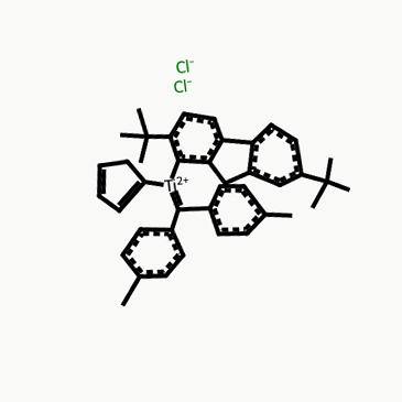 Cc1ccc([C](c2ccc(C)cc2)=[Ti+2]([C]2=CC=CC2)[c]2c(C(C)(C)C)ccc3c2Cc2cc(C(C)(C)C)ccc2-3)cc1.[Cl-].[Cl-]